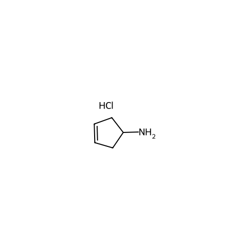 Cl.NC1CC=CC1